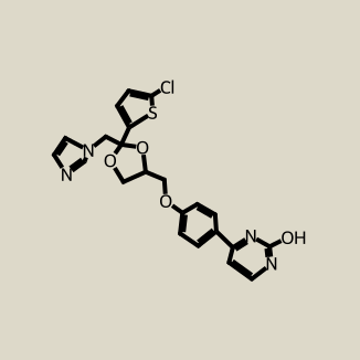 Oc1nccc(-c2ccc(OCC3COC(Cn4ccnc4)(c4ccc(Cl)s4)O3)cc2)n1